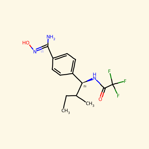 CCC(C)[C@H](NC(=O)C(F)(F)F)c1ccc(/C(N)=N/O)cc1